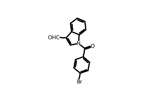 O=Cc1cn(C(=O)c2ccc(Br)cc2)c2ccccc12